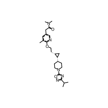 Cc1cc(CC(=O)N(C)C)cnc1OCC[C@@H]1C[C@@H]1C1CCN(c2nc(C(C)C)no2)CC1